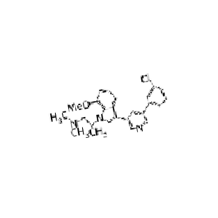 COc1cccc2c(-c3cncc(-c4cccc(Cl)c4)c3)cn(C(C)CN(C)C)c12